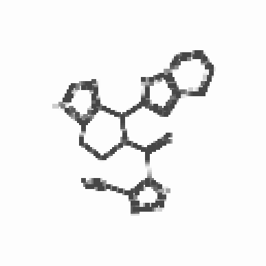 N#Cc1ncoc1C(=O)N1CCc2[nH]cnc2C1c1cc2ccccn2n1